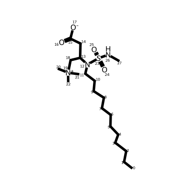 CCCCCCCCCCCCN(C(CC(=O)[O-])C[N+](C)(C)C)S(=O)(=O)NC